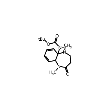 CN1C(=O)CCN(C)C2(NC(=O)OC(C)(C)C)C=CC=CC12